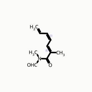 C=C/C=C\C=C(/C)C(=O)N(C)C=O